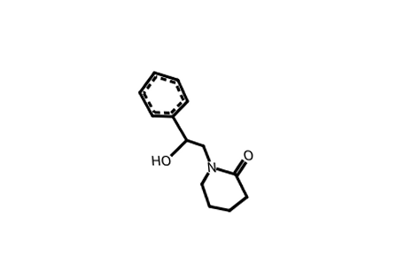 O=C1CCCCN1CC(O)c1ccccc1